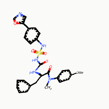 COc1ccc(N(C)C(=O)C(Cc2ccccc2)NC(=O)NS(=O)(=O)Nc2ccc(-c3cnco3)cc2)cc1